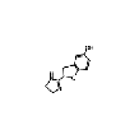 Oc1ccc2c(c1)CC(C1=NCCN1)O2